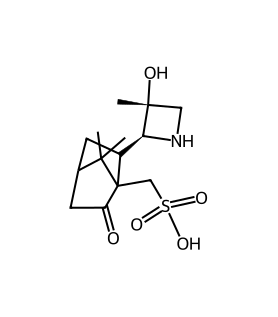 CC1(C)C2CC(=O)C1(CS(=O)(=O)O)C([C@@H]1NC[C@@]1(C)O)C2